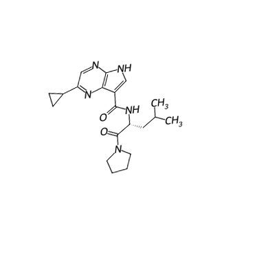 CC(C)C[C@@H](NC(=O)c1c[nH]c2ncc(C3CC3)nc12)C(=O)N1CCCC1